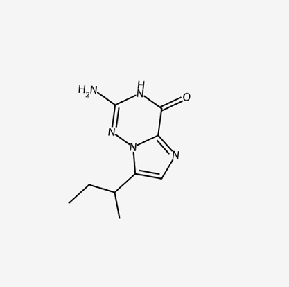 CCC(C)c1cnc2c(=O)[nH]c(N)nn12